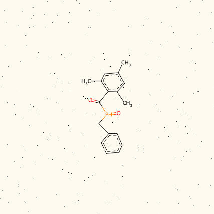 Cc1cc(C)c(C(=O)[PH](=O)Cc2ccccc2)c(C)c1